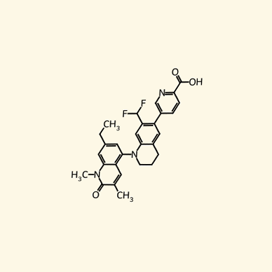 CCc1cc(N2CCCc3cc(-c4ccc(C(=O)O)nc4)c(C(F)F)cc32)c2cc(C)c(=O)n(C)c2c1